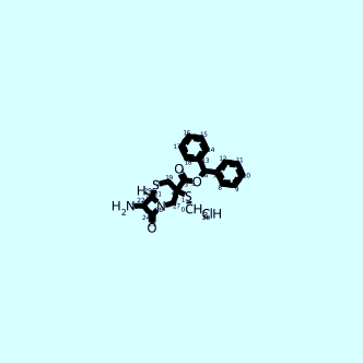 CSC1(C(=O)OC(c2ccccc2)c2ccccc2)CS[C@@H]2C(N)C(=O)N2C1.Cl